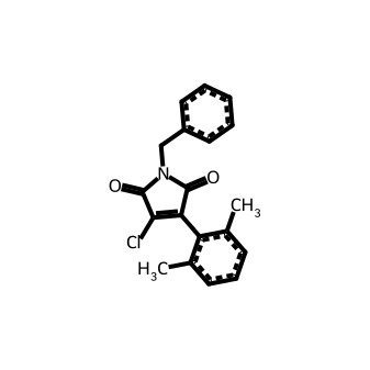 Cc1cccc(C)c1C1=C(Cl)C(=O)N(Cc2ccccc2)C1=O